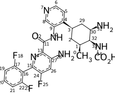 C[C@H]1C[C@@H](c2ccncc2NC(=O)c2nc(-c3c(F)cccc3F)c(F)cc2N)C[C@@H](N)[C@H]1NC(=O)O